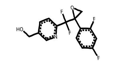 OCc1ccc(C(F)(F)C2(c3ccc(F)cc3F)CO2)nc1